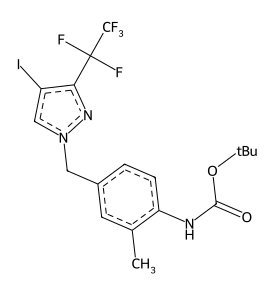 Cc1cc(Cn2cc(I)c(C(F)(F)C(F)(F)F)n2)ccc1NC(=O)OC(C)(C)C